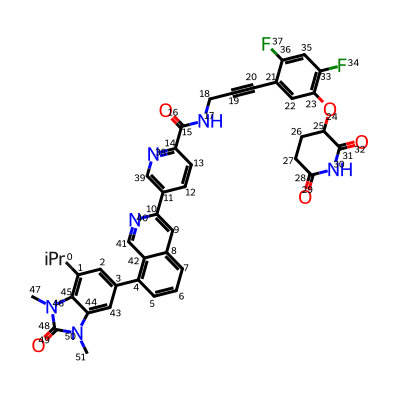 CC(C)c1cc(-c2cccc3cc(-c4ccc(C(=O)NCC#Cc5cc(OC6CCC(=O)NC6=O)c(F)cc5F)nc4)ncc23)cc2c1n(C)c(=O)n2C